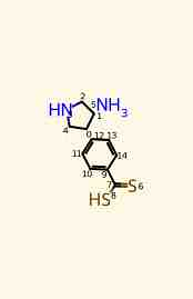 C1CCNC1.N.S=C(S)c1ccccc1